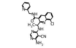 CC(Nc1ncnc(N)c1C#N)c1nc2c(Cl)cccc2cc1C(=O)NCc1ccccn1